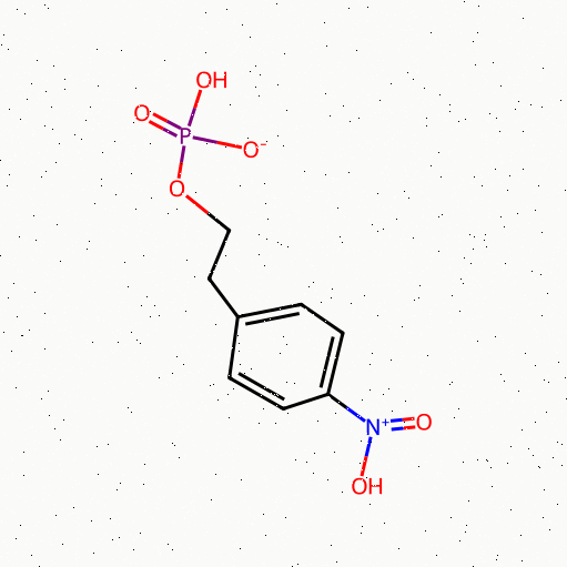 O=[N+](O)c1ccc(CCOP(=O)([O-])O)cc1